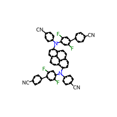 [C-]#[N+]c1ccc(N(c2cc(F)c(-c3ccc(C#N)cc3)cc2F)c2ccc3ccc4c(N(c5ccc(C#N)cc5)c5cc(F)c(-c6ccc(C#N)cc6)cc5F)ccc5ccc2c3c54)cc1